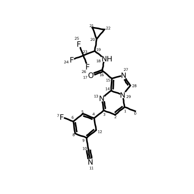 Cc1cc(-c2cc(F)cc(C#N)c2)nc2c(C(=O)NC(C3CC3)C(F)(F)F)ncn12